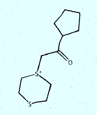 O=C(C[S+]1CCSCC1)C1CCCC1